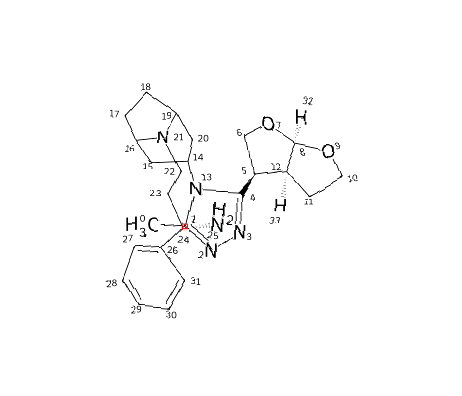 Cc1nnc([C@H]2CO[C@H]3OCC[C@H]32)n1C1CC2CCC(C1)N2CC[C@H](N)c1ccccc1